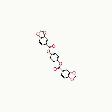 O=C(Oc1ccc(OC(=O)c2ccc3c(c2)OCO3)cc1)c1ccc2c(c1)OCO2